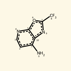 Nc1ccnc2oc(C(F)(F)F)nc12